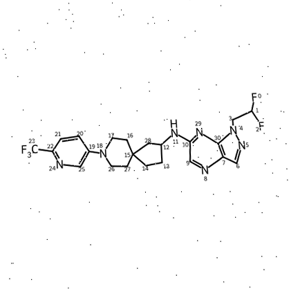 FC(F)Cn1ncc2ncc(NC3CCC4(CCN(c5ccc(C(F)(F)F)nc5)CC4)C3)nc21